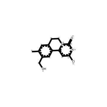 Cc1cc2c(cc1CO)-c1cc(Cl)nc(=O)n1CC2